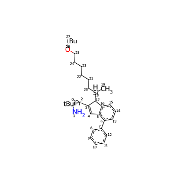 CC(C)(C)N.CC(C)C1=Cc2c(-c3ccccc3)cccc2C1[SiH](C)CCCCCCOC(C)(C)C